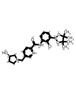 CC1(C)OB(c2cccc(NC(=O)c3ccc(CN4CC[C@@H](O)C4)cn3)c2Cl)OC1(C)C